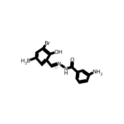 Bc1cc(Br)c(O)c(/C=N/NC(=O)c2cccc(N)c2)c1